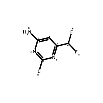 Nc1cc(C(F)F)nc(Cl)n1